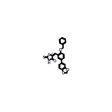 O=C1NC(=S)S/C1=C/c1cc(-c2ccc3c(c2)OCO3)ccc1OCc1ccccc1